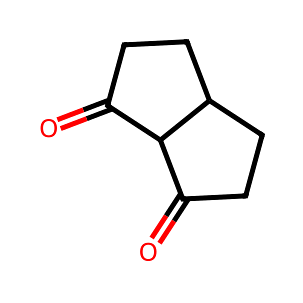 O=C1CCC2CCC(=O)C12